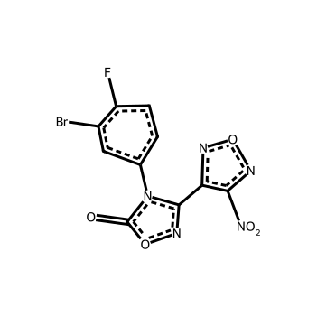 O=c1onc(-c2nonc2[N+](=O)[O-])n1-c1ccc(F)c(Br)c1